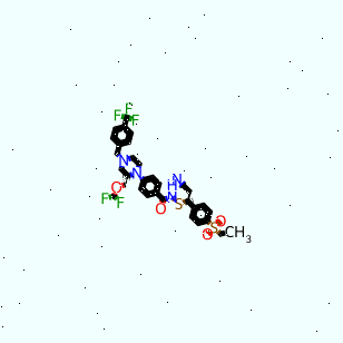 CCS(=O)(=O)c1ccc([C@H](CC#N)SNC(=O)c2ccc(N3CCN(Cc4ccc(C(F)(F)F)cc4)C[C@H]3COC(F)F)cc2)cc1